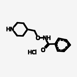 Cl.O=C(NOCC1CCNCC1)c1ccccc1